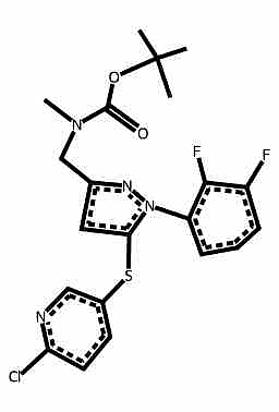 CN(Cc1cc(Sc2ccc(Cl)nc2)n(-c2cccc(F)c2F)n1)C(=O)OC(C)(C)C